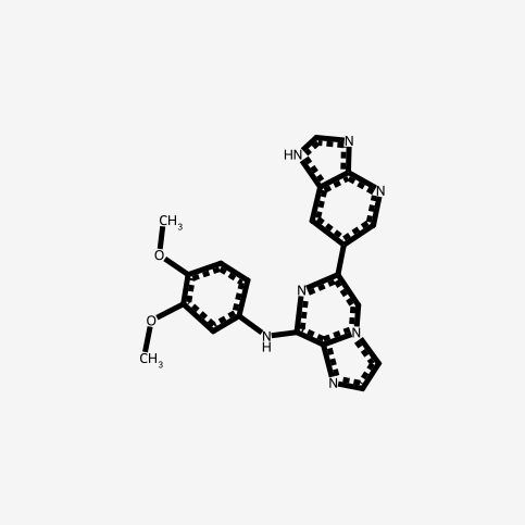 COc1ccc(Nc2nc(-c3cnc4nc[nH]c4c3)cn3ccnc23)cc1OC